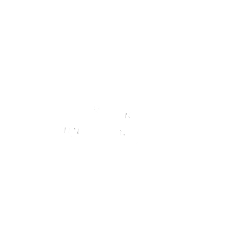 NC(=O)Cn1cc2ccccc2n1